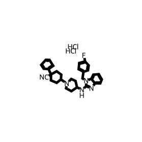 Cl.Cl.N#CC1(c2ccccc2)CCC(N2CCC(Nc3nc4ccccc4n3Cc3ccc(F)cc3)CC2)CC1